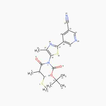 CSCC(C)C(=O)N(C(=O)OC(C)(C)C)c1sc(-c2cncc(C#N)c2)nc1C